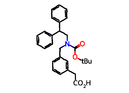 CC(C)(C)OC(=O)N(Cc1cccc(CC(=O)O)c1)CC(c1ccccc1)c1ccccc1